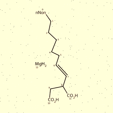 CCCCCCCCCCCCCCC=CC(CC(=O)O)C(=O)O.[MgH2]